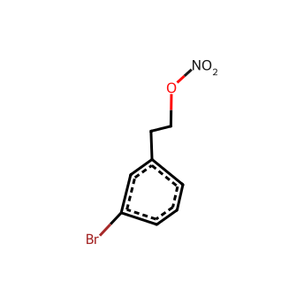 O=[N+]([O-])OCCc1cccc(Br)c1